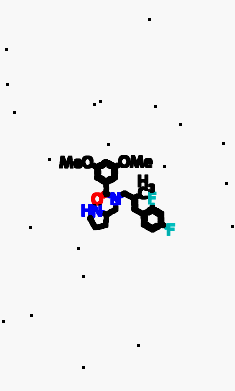 COc1cc(OC)cc(C(=O)N(CC(C)=Cc2ccc(F)cc2F)CC2CCCN2)c1